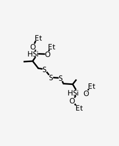 CCO[SiH](OCC)C(C)CSSSCC(C)[SiH](OCC)OCC